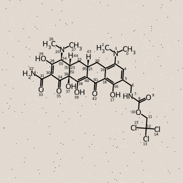 CN(C)c1cc(CNC(=O)OCC(Cl)(Cl)Cl)c(O)c2c1C[C@H]1C[C@H]3[C@H](N(C)C)C(O)=C(C(N)=O)C(=O)[C@@]3(O)C(O)=C1C2=O